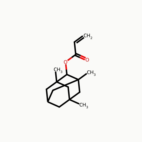 C=CC(=O)OC1C2(C)CC3CC(C)(C2)CC1(C)C3